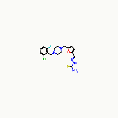 NC(=S)NN=Cc1ccc(CN2CCN(Cc3c(F)cccc3Cl)CC2)o1